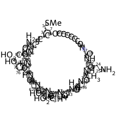 CSCc1cc2cc(c1)OCCCCCCO/N=C/C(=O)N[C@@H](CCCCN)C(=O)N[C@@H](C)C(=O)N1CCC[C@H]1C(=O)N[C@@H](CC(C)C)C(=O)N[C@@H](CC(=O)O)C(=O)N[C@@H]([C@@H](C)O)C(=O)N1CCC[C@H]1C(=O)N[C@@H](Cc1ccc(O)cc1)C(=O)N[C@@H](CCC(=O)O)C(=O)N[C@H](C(N)=O)CSC2